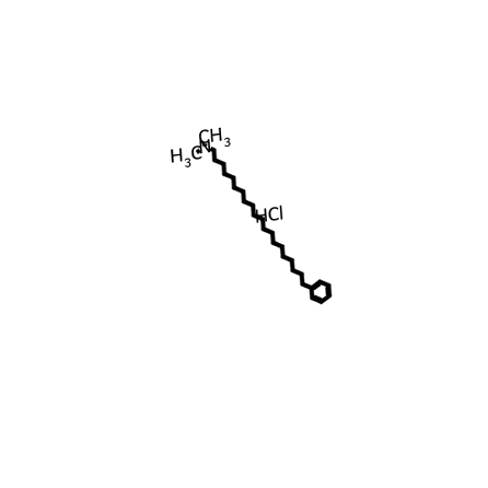 CN(C)CCCCCCCCCCCCCCCCCCCCc1ccccc1.Cl